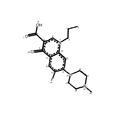 CCCn1cc(C(=O)O)c(=O)c2cc(F)c(N3CCN(C)CC3)cc21